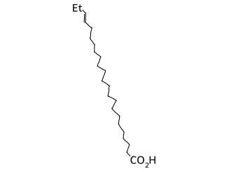 CCC=CCCCCCCCCCCCCCCCCCCC(=O)O